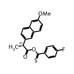 COc1ccc2cc([C@H](C)C(=O)OC(=S)c3ccc(F)cc3)ccc2c1